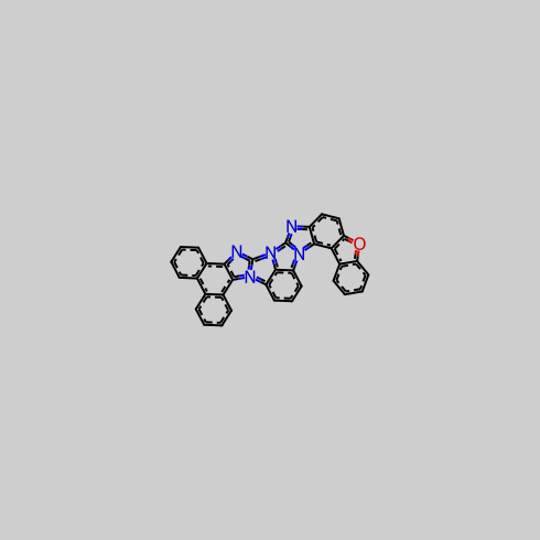 c1ccc2c(c1)oc1ccc3nc4n(c5cccc6c5n4c4nc5c7ccccc7c7ccccc7c5n64)c3c12